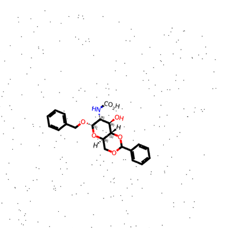 O=C(O)N[C@H]1[C@@H](OCc2ccccc2)O[C@@H]2COC(c3ccccc3)O[C@H]2[C@@H]1O